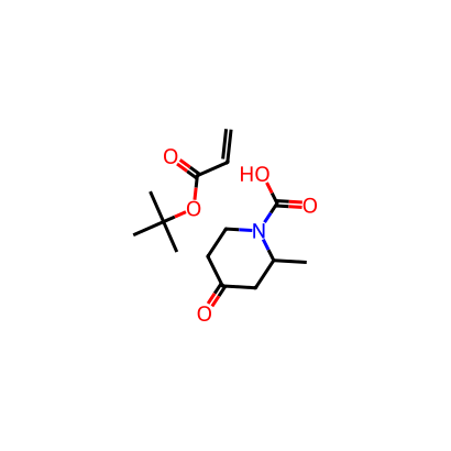 C=CC(=O)OC(C)(C)C.CC1CC(=O)CCN1C(=O)O